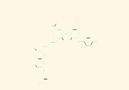 CCCCCCC(=O)N[C@@H](Cc1ccc(F)cc1)C(=O)N[C@@H](CCC(=O)O)C(=O)NCCCC[C@H](NC(=O)N[C@@H](CCC(=O)O)C(=O)O)C(=O)O